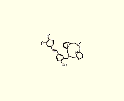 COc1ccc(/C=C/c2ccc(O)c(CN3Cc4cccc(n4)CN(C)Cc4cccc(n4)C3)c2)cc1OC